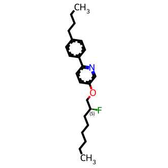 CCCCCC[C@H](F)COc1ccc(-c2ccc(CCCC)cc2)nc1